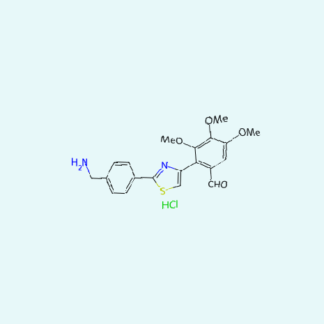 COc1cc(C=O)c(-c2csc(-c3ccc(CN)cc3)n2)c(OC)c1OC.Cl